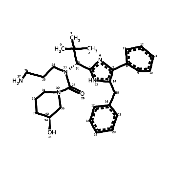 CC(C)(C)[C@H](c1nc(-c2ccccc2)c(Cc2ccccc2)[nH]1)N(CCCN)C(=O)N1CCC[C@H](O)C1